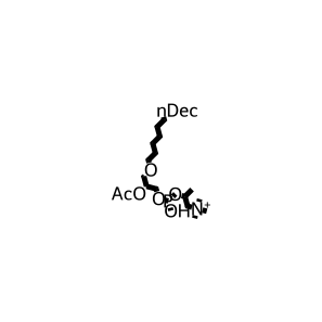 CCCCCCCCCCCCCCCCOCC(COP(O)OC(C)C[N+](C)(C)C)OC(C)=O